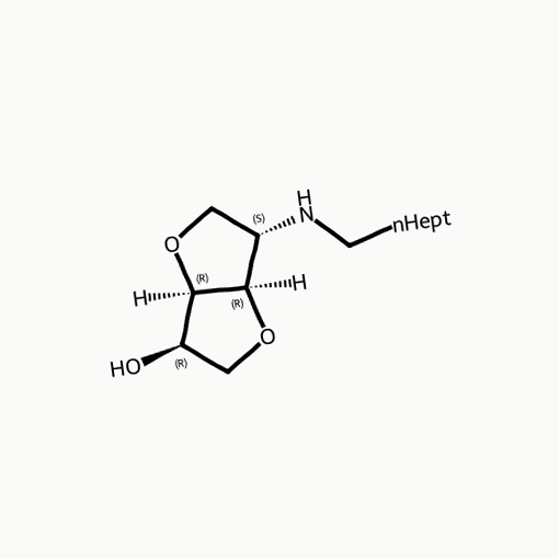 CCCCCCCCN[C@H]1CO[C@H]2[C@@H]1OC[C@H]2O